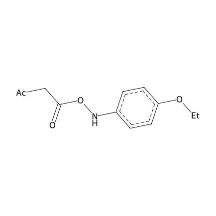 CCOc1ccc(NOC(=O)CC(C)=O)cc1